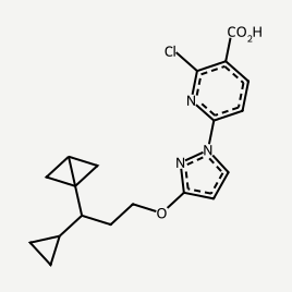 O=C(O)c1ccc(-n2ccc(OCCC(C3CC3)C34CC3C4)n2)nc1Cl